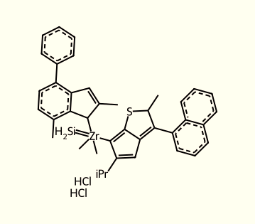 CC1=Cc2c(-c3ccccc3)ccc(C)c2[CH]1[Zr]([CH3])([CH3])(=[SiH2])[C]1=C2SC(C)C(c3cccc4ccccc34)=C2C=C1C(C)C.Cl.Cl